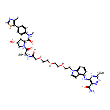 CSc1nnc(C(N)=O)c(Nc2cccc3c2ccn3CCOCCOCCOCC(=O)N[C@H](C(=O)N2C[C@H](O)C[C@H]2C(=O)N(C)c2ccc(-c3scnc3C)cc2)C(C)(C)C)n1